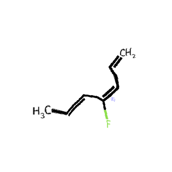 C=C/C=C(/F)C=CC